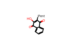 CCCC(C)C1=C(O)C(=O)c2ccccc2C1=O